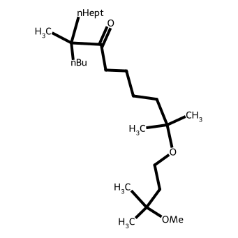 CCCCCCCC(C)(CCCC)C(=O)CCCCC(C)(C)OCCC(C)(C)OC